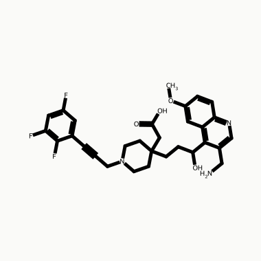 COc1ccc2ncc(CN)c(C(O)CCC3(CC(=O)O)CCN(CC#Cc4cc(F)cc(F)c4F)CC3)c2c1